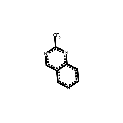 FC(F)(F)c1ncc2cnccc2n1